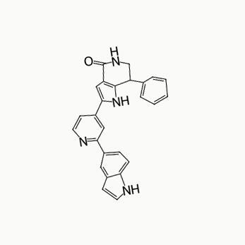 O=C1NCC(c2ccccc2)c2[nH]c(-c3ccnc(-c4ccc5[nH]ccc5c4)c3)cc21